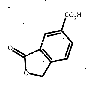 O=C(O)c1ccc2c(c1)C(=O)OC2